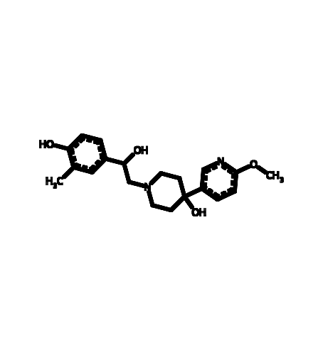 COc1ccc(C2(O)CCN(CC(O)c3ccc(O)c(C)c3)CC2)cn1